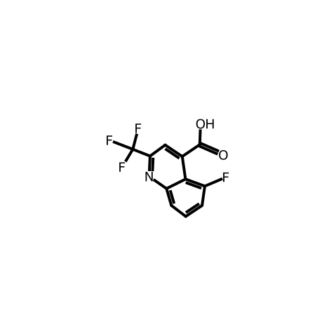 O=C(O)c1cc(C(F)(F)F)nc2cccc(F)c12